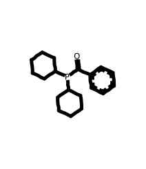 O=C(c1ccccc1)P(C1CCCCC1)C1CCCCC1